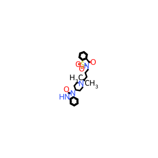 CC(C)(CCCN1C(=O)c2ccccc2S1(=O)=O)N1CCC(n2c(=O)[nH]c3ccccc32)CC1